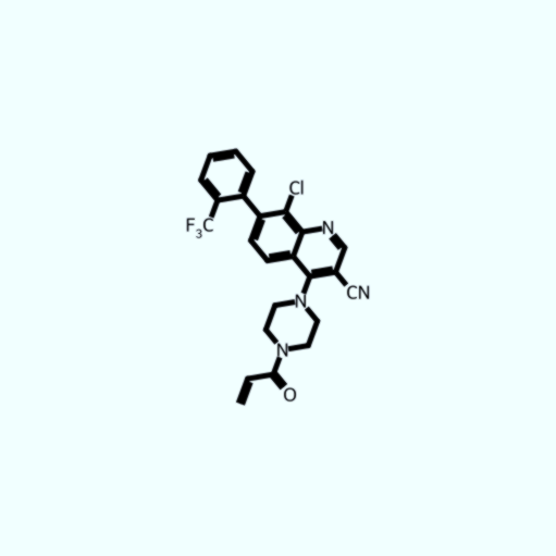 C=CC(=O)N1CCN(c2c(C#N)cnc3c(Cl)c(-c4ccccc4C(F)(F)F)ccc23)CC1